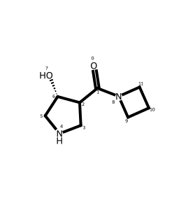 O=C(C1CNC[C@@H]1O)N1CCC1